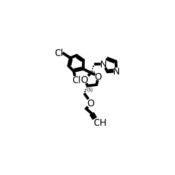 C#CCOC[C@H]1CO[C@](Cn2ccnc2)(c2ccc(Cl)cc2Cl)O1